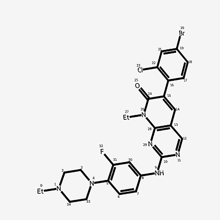 CCN1CCN(c2ccc(Nc3ncc4cc(-c5ccc(Br)cc5Cl)c(=O)n(CC)c4n3)cc2F)CC1